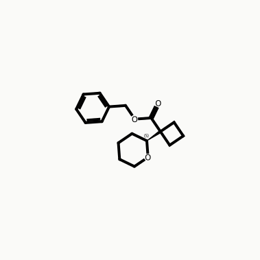 O=C(OCc1ccccc1)C1([C@@H]2CCCCO2)CCC1